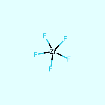 [F][Zr]([F])([F])([F])[F]